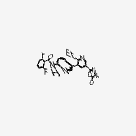 CCc1ncc(-c2nn(C)c(=O)o2)cc1-c1ccc(NC(=O)c2c(F)cccc2F)nc1